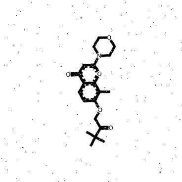 Cc1c(OCC(=O)C(C)(C)C)ccc2c(=O)cc(N3CCOCC3)oc12